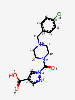 O=C(O)c1cnn(C(=O)N2CCN(Cc3ccc(Cl)cc3)CC2)c1